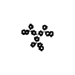 C1=c2ccccc2=CC(N(c2ccccc2)c2ccc(N(c3ccc(N(c4ccccc4)c4ccc5ccccc5c4)cc3)c3ccc(N(c4ccccc4)c4ccc5ccccc5c4)cc3)cc2)C1